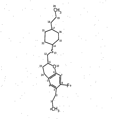 CCCc1cc2c(cc1F)OC(CSC1CCC(CCC)CC1)CC2